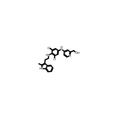 Cc1[nH]c2ccccc2c1CCNc1c(Cl)cc(Nc2ccnc(CO)c2)cc1Cl